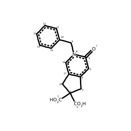 O=C(O)C1(C(=O)O)Cc2cc(=O)n(Cc3ccccc3)cc2C1